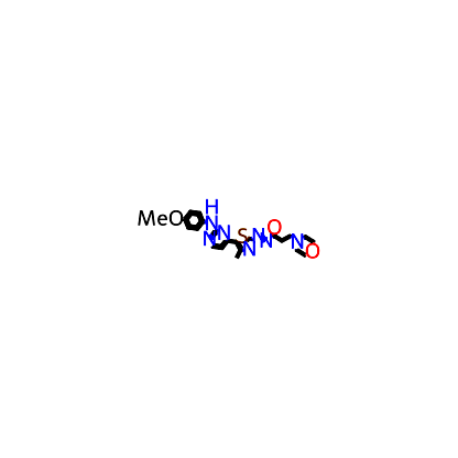 COc1ccc(Nc2nccc(-c3sc(N=NC(=O)CCN4CCOCC4)nc3C)n2)cc1